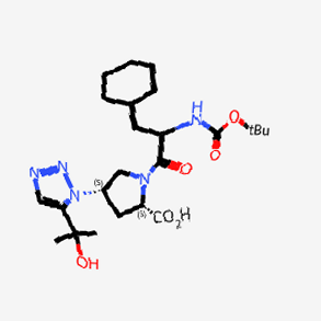 CC(C)(C)OC(=O)NC(CC1CCCCC1)C(=O)N1C[C@@H](n2nncc2C(C)(C)O)C[C@H]1C(=O)O